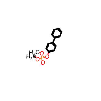 COP(=O)(OC)Oc1ccc(-c2ccccc2)cc1